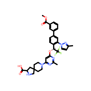 COC(=O)c1cccc(-c2ccc([C@@H](Oc3cc(N4CCC5(CC4)CNC(C(=O)O)C5)nc(C)n3)C(F)(F)F)c(-n3ccc(C)n3)c2)c1